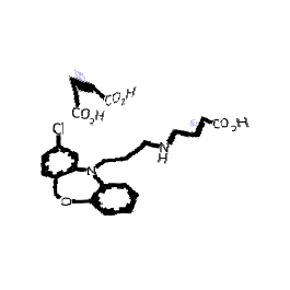 O=C(O)/C=C/CNCCCN1c2cc(Cl)ccc2COc2ccccc21.O=C(O)/C=C\C(=O)O